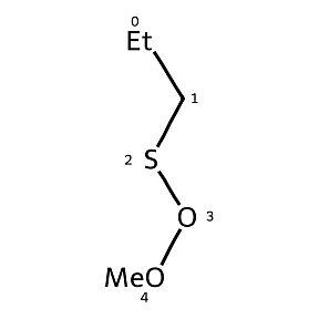 CCCSOOC